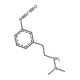 CN(C)[SiH2]CCc1cccc(N=C=O)c1